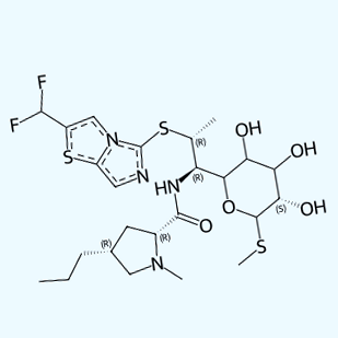 CCC[C@@H]1C[C@H](C(=O)N[C@H](C2OC(SC)[C@@H](O)C(O)C2O)[C@@H](C)Sc2ncc3sc(C(F)F)cn23)N(C)C1